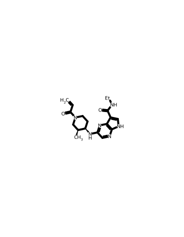 C=CC(=O)N1CC[C@@H](Nc2cnc3[nH]cc(C(=O)NCC)c3n2)[C@@H](C)C1